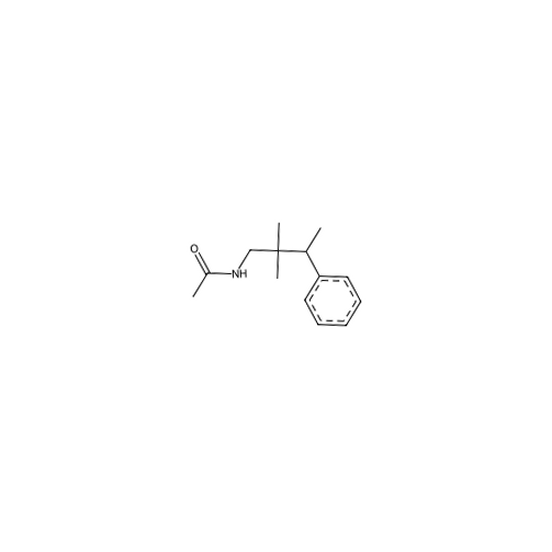 CC(=O)NCC(C)(C)C(C)c1ccccc1